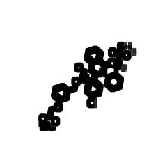 C=C1c2ccccc2[C@@H](C(=O)NOCc2cccc(OCC(=O)OC(C)(C)C)c2)[C@H](c2ccc(Cl)cc2)N1[C@H]1CCCC[C@@H]1C#CS(C)(=O)=O